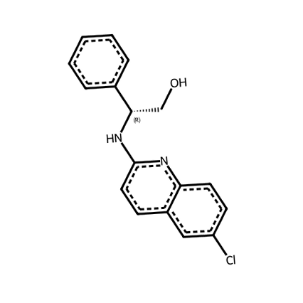 OC[C@H](Nc1ccc2cc(Cl)ccc2n1)c1ccccc1